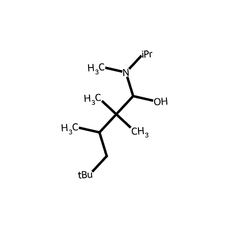 CC(C)N(C)C(O)C(C)(C)C(C)CC(C)(C)C